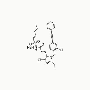 CCCC=CS(=O)(=O)NC(=O)C=Cc1c(Cl)nc(CC)n1Cc1ccc(C#Cc2ccccc2)cc1Cl.[NaH]